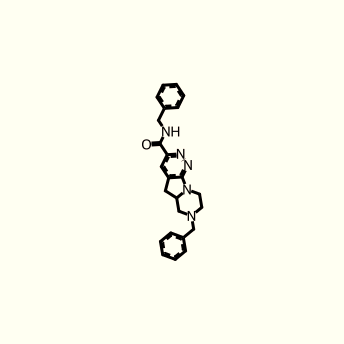 O=C(NCc1ccccc1)c1cc2c(nn1)N1CCN(Cc3ccccc3)CC1C2